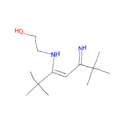 CC(C)(C)C(=N)/C=C(\NCCO)C(C)(C)C